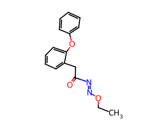 CCON=NC(=O)Cc1ccccc1Oc1ccccc1